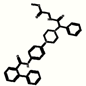 COC(=O)CNC(=O)C(c1ccccc1)N1CCN(c2ccc(NC(=O)c3ccccc3-c3ccccc3)cc2)CC1